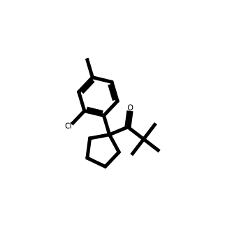 Cc1ccc(C2(C(=O)C(C)(C)C)CCCC2)c(Cl)c1